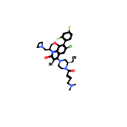 CN(C)C/C=C/C(=O)N1CCN(c2c(C#N)c(=O)n3c4c(c(-c5ccc(F)cc5F)c(Cl)cc24)OCC3CN2CCC2)C[C@@H]1CC#N